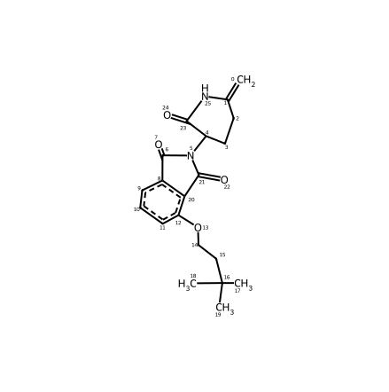 C=C1CCC(N2C(=O)c3cccc(OCCC(C)(C)C)c3C2=O)C(=O)N1